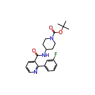 CC(C)(C)OC(=O)N1CCC(NC(=O)c2cccnc2-c2cccc(F)c2)CC1